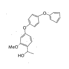 COc1cc(Oc2ccc(Oc3ccccc3)cc2)ccc1C(C)O